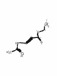 CCOC(=O)C#CNC(C)=O